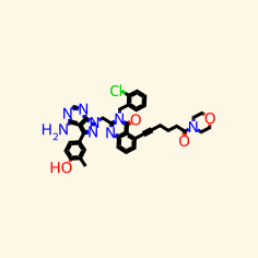 Cc1cc(-c2nn(Cc3nc4cccc(C#CCCCC(=O)N5CCOCC5)c4c(=O)n3Cc3ccccc3Cl)c3ncnc(N)c23)ccc1O